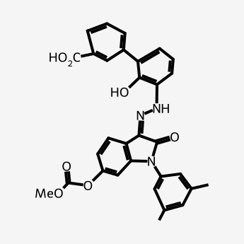 COC(=O)Oc1ccc2c(c1)N(c1cc(C)cc(C)c1)C(=O)C2=NNc1cccc(-c2cccc(C(=O)O)c2)c1O